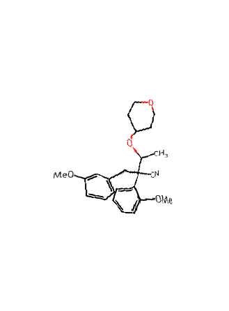 COc1cccc(CC(C#N)(c2ccccc2OC)C(C)OC2CCOCC2)c1